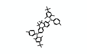 Cc1ccc(N(c2ccc3c(c2)C(C)(C)C(C)(C)c2cc(N(C4=CC=CC(C)C=C4)c4c(C)cc(C(C)(C)C)cc4C)ccc2-3)c2c(C)cc(C(C)(C)C)cc2C)cc1